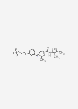 Cc1noc(NC(=O)N2CC/C(=C\c3cccc(OCCCC(F)(F)F)c3)C(C)C2)c1C